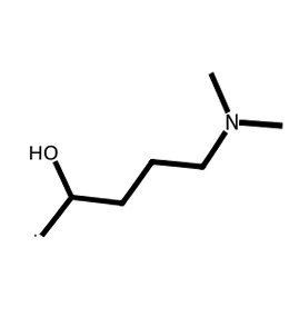 [CH2]C(O)CCCN(C)C